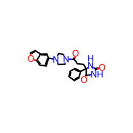 O=C1NC(=O)C(CCC(=O)N2CCN(c3ccc4occc4c3)CC2)(c2ccccc2)N1